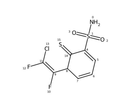 NS(=O)(=O)C1=CC=CC(C(F)=C(F)Cl)C1=S